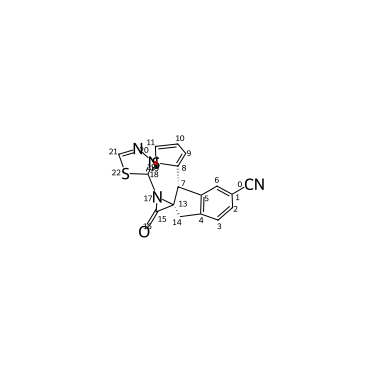 N#Cc1ccc2c(c1)[C@@H](c1cccs1)[C@@]1(C2)C(=O)N1c1nncs1